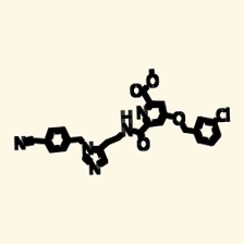 COC(=O)c1cc(OCc2cccc(Cl)c2)cc(C(=O)NCCc2cncn2Cc2ccc(C#N)cc2)n1